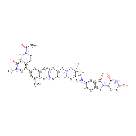 CNC(=O)N1CCc2c(-c3cc(OC)c(CN4CCC(CN5CCC6(CN(c7ccc8c(c7)C(=O)N(C7CCC(=O)NC7=O)C8)C6)C(F)(F)C5)CC4)c(OC)c3)cn(C)c(=O)c2C1